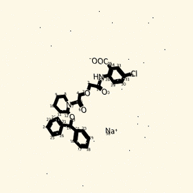 O=C(COCC(=O)N1CCCCC1OC(c1ccccc1)c1ccccc1)Nc1ccc(Cl)cc1C(=O)[O-].[Na+]